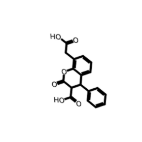 O=C(O)Cc1cccc2c1OC(=O)C(C(=O)O)C2c1ccccc1